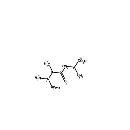 CCCCCN(N)C(C)C(=O)NC(C)C(=O)O